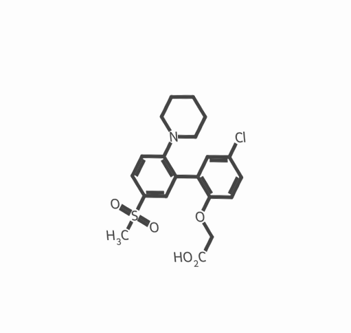 CS(=O)(=O)c1ccc(N2CCCCC2)c(-c2cc(Cl)ccc2OCC(=O)O)c1